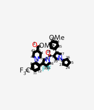 COC(=O)C1CCN(c2cc(C(F)(F)F)ccc2C2CN(C(=O)[C@@H]3CN(C4CCCC4)C[C@H]3c3ccc(OC)cc3)CC2(F)F)CC1